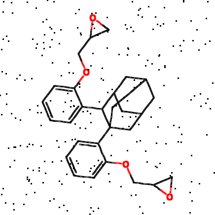 c1ccc(C2C3CC4CC(C3)CC2(c2ccccc2OCC2CO2)C4)c(OCC2CO2)c1